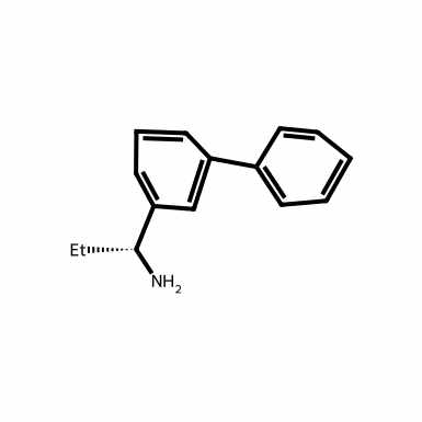 CC[C@@H](N)c1cccc(-c2ccccc2)c1